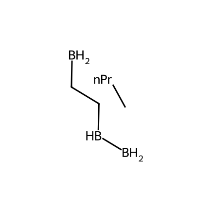 BBCCB.CCCC